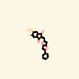 O=C1/C(=C\c2cc3oc(-c4ccccc4)cc3o2)C(=O)c2cc(P)c(F)cc21